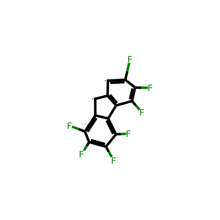 Fc1[c]c2c(c(F)c1F)-c1c(F)c(F)c(F)c(F)c1[CH]2